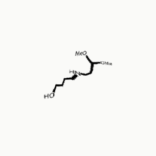 COC(CNCCCCO)OC